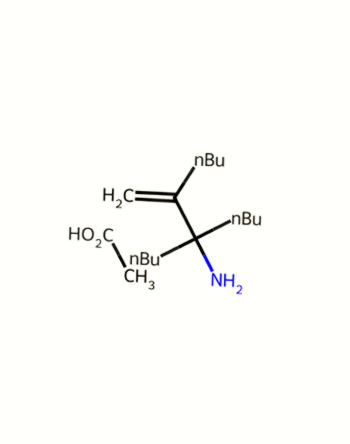 C=C(CCCC)C(N)(CCCC)CCCC.CC(=O)O